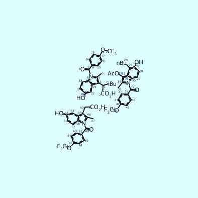 CCC(C)C(C(=O)O)c1c(C)n(C(=O)c2ccc(OC(F)(F)F)cc2)c2ccc(O)cc12.CCCCc1c(O)ccc2c1c(OC(C)=O)c(C)n2C(=O)c1ccc(OC(F)(F)F)cc1.Cc1c(CC(=O)O)c2cc(O)ccc2n1C(=O)c1ccc(OC(F)(F)F)cc1